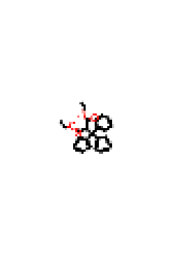 CCOC(=O)C(C(=O)OCC)C(c1ccccc1)(c1ccccc1)c1ccccc1